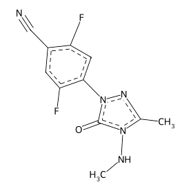 CNn1c(C)nn(-c2cc(F)c(C#N)cc2F)c1=O